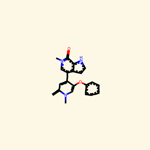 C=C1C=C(c2cn(C)c(=O)c3[nH]ccc23)C(Oc2ccccc2)=CN1C